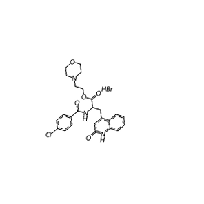 Br.O=C(NC(Cc1cc(=O)[nH]c2ccccc12)C(=O)OCCN1CCOCC1)c1ccc(Cl)cc1